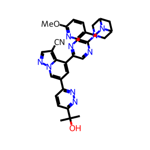 COc1ccc(CN2C3CC2CN(c2cnc(-c4cc(-c5ccc(C(C)(C)O)nn5)cn5ncc(C#N)c45)cn2)C3)cn1